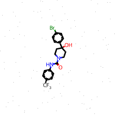 O=C(Nc1ccc(C(F)(F)F)cc1)N1CCC(O)(c2ccc(Br)cc2)CC1